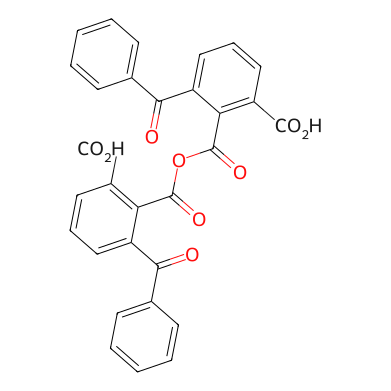 O=C(O)c1cccc(C(=O)c2ccccc2)c1C(=O)OC(=O)c1c(C(=O)O)cccc1C(=O)c1ccccc1